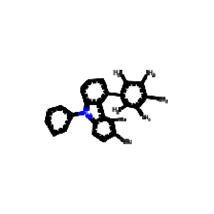 Bc1c(B)c(B)c(-c2cccc3c2c2c(C(C)(C)C)c(C(C)(C)C)ccc2n3-c2ccccc2)c(B)c1B